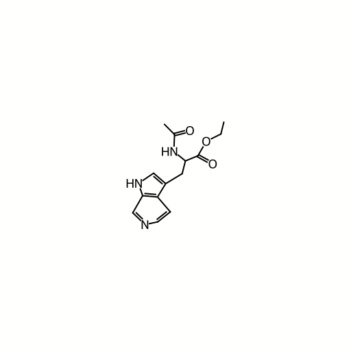 CCOC(=O)C(Cc1c[nH]c2cnccc12)NC(C)=O